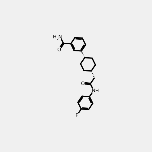 NC(=O)c1cccc([C@H]2CC[C@@H](CC(=O)Nc3ccc(F)cc3)CC2)c1